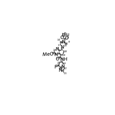 COc1cnc2c(N3C[C@@H](C)N(C(=O)OC(C)(C)C)[C@@H](C)C3)ccc(C(=O)Nc3cc(F)c4nc(C)cn4c3)c2n1